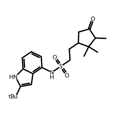 CC1C(=O)CC(CCS(=O)(=O)Nc2cccc3[nH]c(C(C)(C)C)cc23)C1(C)C